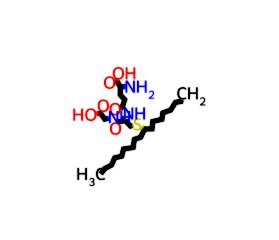 C=CCCCCCCC(CCCCCCCCC)SCC(NC(=O)CCC(N)C(=O)O)C(=O)NCC(=O)O